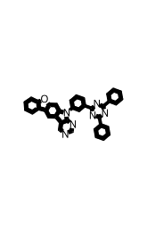 c1ccc(-c2nc(-c3ccccc3)nc(-c3cccc(-n4c5cc6oc7ccccc7c6cc5c5cncnc54)c3)n2)cc1